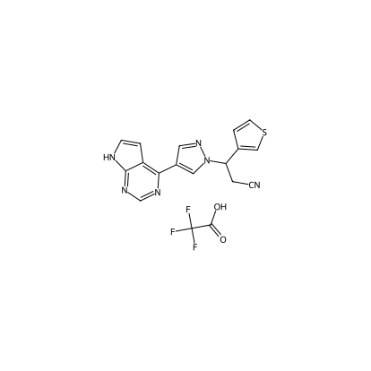 N#CCC(c1ccsc1)n1cc(-c2ncnc3[nH]ccc23)cn1.O=C(O)C(F)(F)F